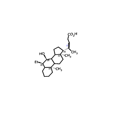 CC[C@@H]1C2CCCC[C@]2(C)C2CC[C@@]3(C)C(CC[C@@H]3/C(C)=C\CC(=O)O)C2[C@@H]1O